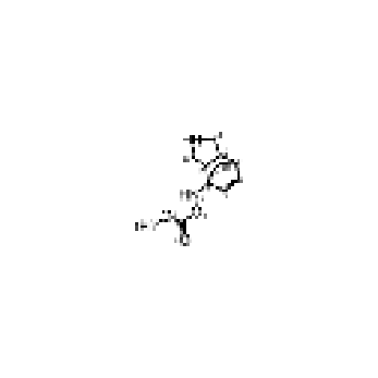 CC(C)(C)OC(=O)ONC12C=CC(CC1)C1CNCC12